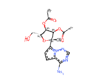 CC(C)C(=O)O[C@H]1[C@@H](OC(=O)C(C)C)[C@](C#N)(c2ccc3c(N)ncnn23)O[C@@H]1CO